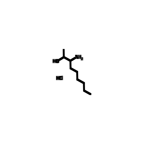 CCCCCCC(N)C(C)O.Cl